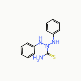 NC(=S)N(Nc1ccccc1)Nc1ccccc1